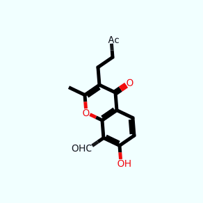 CC(=O)CCc1c(C)oc2c(C=O)c(O)ccc2c1=O